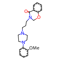 COc1ccccc1N1CCN(CCCN2COc3ccccc3C2=O)CC1